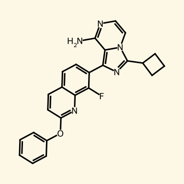 Nc1nccn2c(C3CCC3)nc(-c3ccc4ccc(Oc5ccccc5)nc4c3F)c12